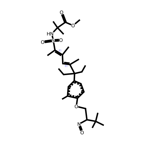 CCC(CC)(/C(C)=C/C(C)=C(\C)S(=O)(=O)NC(C)(C)C(=O)OC)c1ccc(OCC(N=O)C(C)(C)C)c(C)c1